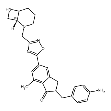 Cc1cc(-c2nc(CN3CCCC4NC[C@H]43)no2)cc2c1C(=O)N(Cc1ccc(N)cc1)C2